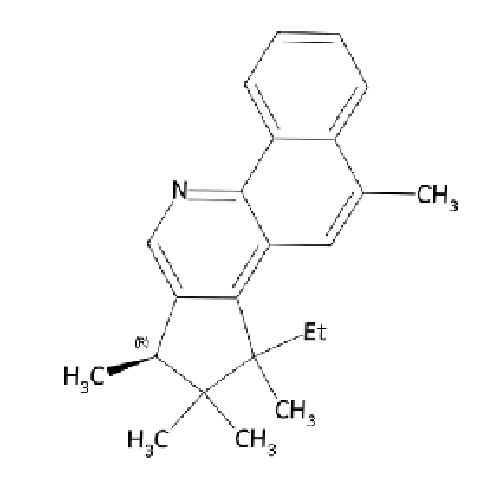 CCC1(C)c2c(cnc3c2cc(C)c2ccccc23)[C@H](C)C1(C)C